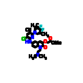 COC(=O)COc1cc2cc(Nc3nc(N4C[C@@H](C)C(F)(F)[C@@H](C)C4)c(C#N)cc3Cl)ccc2n(CCN(C)C)c1=O